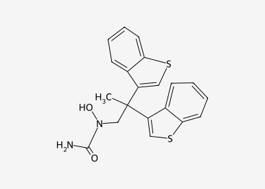 CC(CN(O)C(N)=O)(c1csc2ccccc12)c1csc2ccccc12